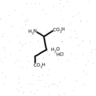 Cl.NC(CCC(=O)O)C(=O)O.O